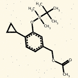 CC(=O)OCc1ccc(C2CC2)c(O[Si](C)(C)C(C)(C)C)c1